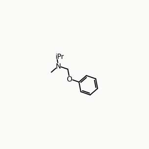 CC(C)N(C)COc1ccccc1